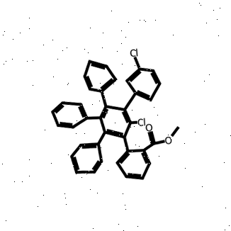 COC(=O)c1ccccc1-c1c(Cl)c(-c2cccc(Cl)c2)c(-c2ccccc2)c(-c2ccccc2)c1-c1ccccc1